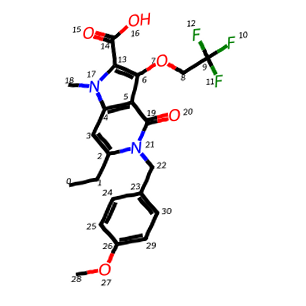 CCc1cc2c(c(OCC(F)(F)F)c(C(=O)O)n2C)c(=O)n1Cc1ccc(OC)cc1